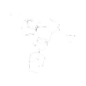 O=C(O)c1cc(-c2csc(N3[C@@H]4CC[C@H]3C[C@H](OCc3c(-c5ccccc5OC(F)(F)F)noc3C3CC3)C4)n2)cs1